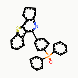 O=P(c1ccccc1)(c1ccccc1)c1ccc(-c2nc3ccccc3c3sc4ccccc4c23)cc1